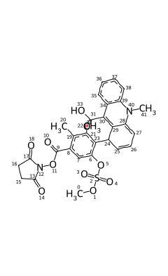 COS(=O)(=O)Oc1cc(C(=O)ON2C(=O)CCC2=O)c(C)c(C)c1C1C=CC=C2C1=C(C(=O)O)c1ccccc1N2C